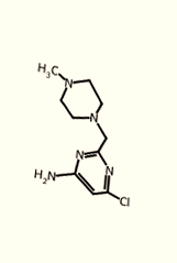 CN1CCN(Cc2nc(N)cc(Cl)n2)CC1